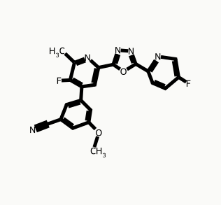 COc1cc(C#N)cc(-c2cc(-c3nnc(-c4ccc(F)cn4)o3)nc(C)c2F)c1